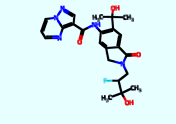 CC(C)(O)c1cc2c(cc1NC(=O)c1cnn3cccnc13)CN(CC(F)C(C)(C)O)C2=O